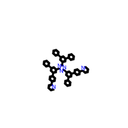 c1ccc(-c2cc(-c3ccccc3)cc(-c3nc(-c4cc(-c5ccccc5)cc(-c5ccc(-c6ccccn6)cc5)c4)nc(-c4cc(-c5ccccc5)cc(-c5ccc(-c6ccccn6)cc5)c4)n3)c2)cc1